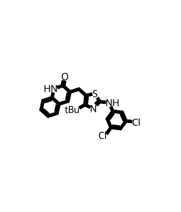 CC(C)(C)c1nc(Nc2cc(Cl)cc(Cl)c2)sc1Cc1cc2ccccc2[nH]c1=O